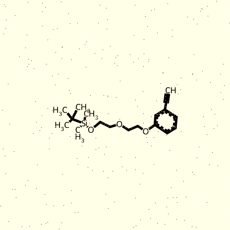 C#Cc1cccc(OCCOCCO[Si](C)(C)C(C)(C)C)c1